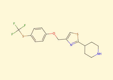 FC(F)(F)Sc1ccc(OCc2csc(C3CCNCC3)n2)cc1